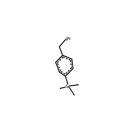 CC(C)Cc1ccc([Si](C)(C)C)cc1